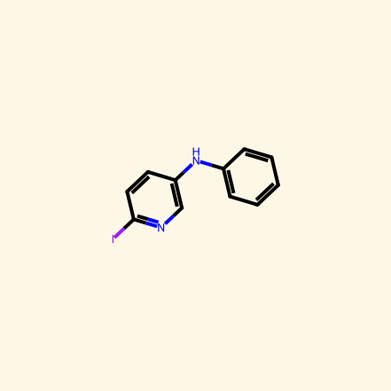 Ic1ccc(Nc2ccccc2)cn1